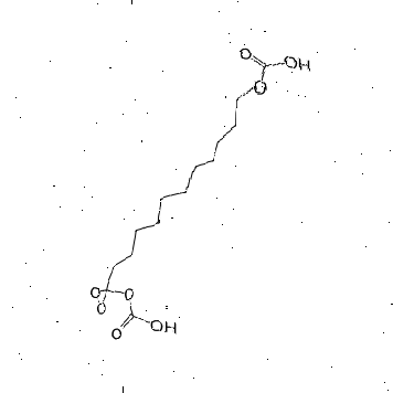 O=C(O)OCCCCCCCCCCCC1(OC(=O)O)OO1